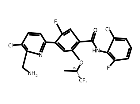 C[C@H](Oc1cc(-c2ccc(Cl)c(CN)n2)c(F)cc1C(=O)Nc1c(F)cccc1Cl)C(F)(F)F